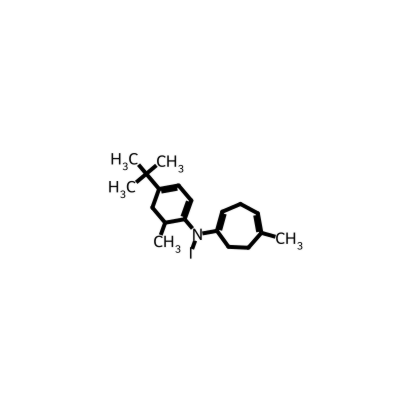 CC1=CCC=C(N(I)C2=CC=C(C(C)(C)C)CC2C)CC1